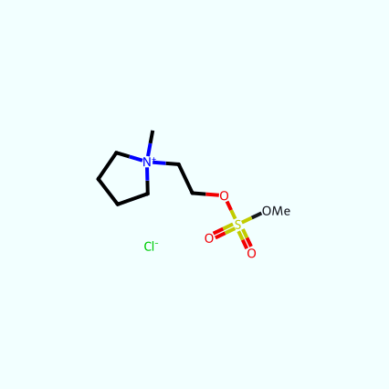 COS(=O)(=O)OCC[N+]1(C)CCCC1.[Cl-]